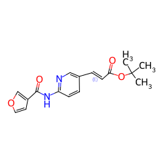 CC(C)(C)OC(=O)/C=C/c1ccc(NC(=O)c2ccoc2)nc1